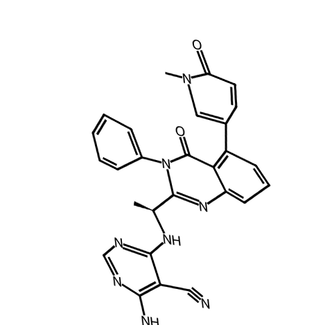 C[C@H](Nc1ncnc(N)c1C#N)c1nc2cccc(-c3ccc(=O)n(C)c3)c2c(=O)n1-c1ccccc1